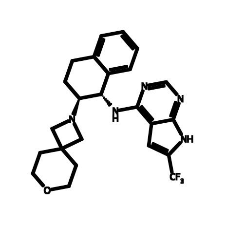 FC(F)(F)c1cc2c(N[C@H]3c4ccccc4CC[C@@H]3N3CC4(CCOCC4)C3)ncnc2[nH]1